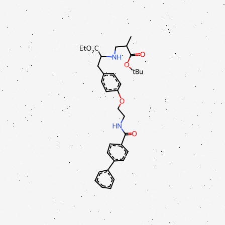 CCOC(=O)C(Cc1ccc(OCCNC(=O)c2ccc(-c3ccccc3)cc2)cc1)NCC(C)C(=O)OC(C)(C)C